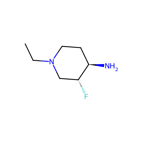 CCN1CC[C@@H](N)[C@H](F)C1